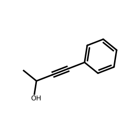 CC(O)C#Cc1ccccc1